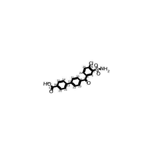 NS(=O)(=O)c1cc(C(=O)c2ccc(-c3ccc(C(=O)O)cc3)cc2)ccc1Cl